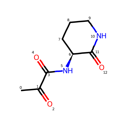 CC(=O)C(=O)N[C@H]1CCCNC1=O